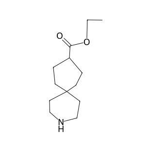 CCOC(=O)C1CCC2(CCNCC2)CC1